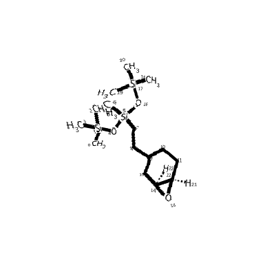 C[Si](C)(C)O[Si](C)(CCC1CC[C@H]2O[C@H]2C1)O[Si](C)(C)C